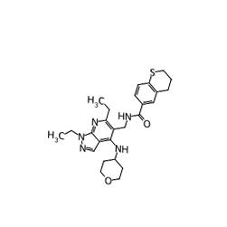 CCc1nc2c(cnn2CC)c(NC2CCOCC2)c1CNC(=O)c1ccc2c(c1)CCCS2